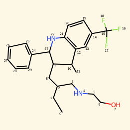 CCC(CNCCO)CC1C(C)c2cc(C(F)(F)F)ccc2NC1c1ccccc1